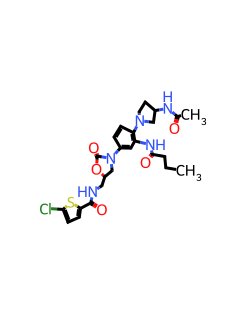 CCCC(=O)Nc1cc(N2CC(CNC(=O)c3ccc(Cl)s3)OC2=O)ccc1N1CCC(NC(C)=O)C1